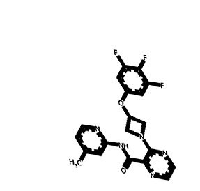 Cc1ccnc(NC(=O)c2nccnc2N2CC(Oc3cc(F)c(F)c(F)c3)C2)c1